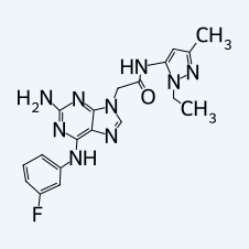 CCn1nc(C)cc1NC(=O)Cn1cnc2c(Nc3cccc(F)c3)nc(N)nc21